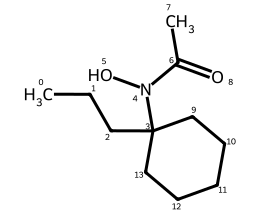 CCCC1(N(O)C(C)=O)CCCCC1